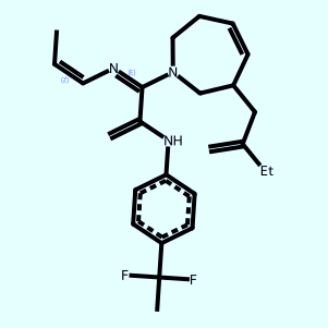 C=C(CC)CC1C=CCCN(/C(=N/C=C\C)C(=C)Nc2ccc(C(C)(F)F)cc2)C1